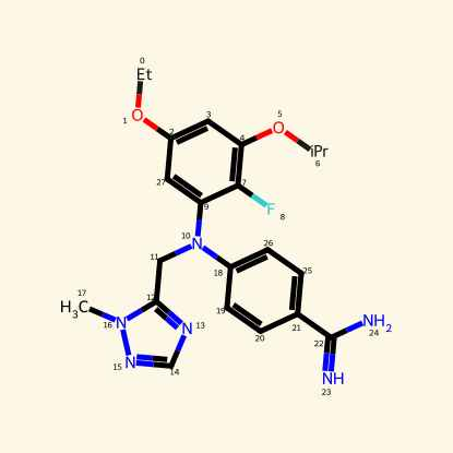 CCOc1cc(OC(C)C)c(F)c(N(Cc2ncnn2C)c2ccc(C(=N)N)cc2)c1